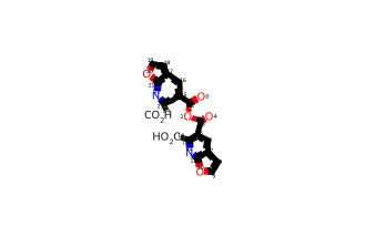 O=C(OC(=O)c1cc2ccoc2nc1C(=O)O)c1cc2ccoc2nc1C(=O)O